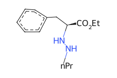 CCCNN[C@@H](Cc1ccccc1)C(=O)OCC